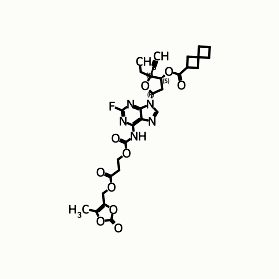 C#C[C@]1(CC)O[C@@H](n2cnc3c(NC(=O)OCCC(=O)OCc4oc(=O)oc4C)nc(F)nc32)C[C@@H]1OC(=O)C1CC2(CCC2)C1